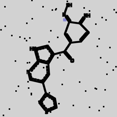 N=C1C=CC(C(=O)c2c[nH]c3ncc(-c4ccsc4)cc23)=C/C1=N/S